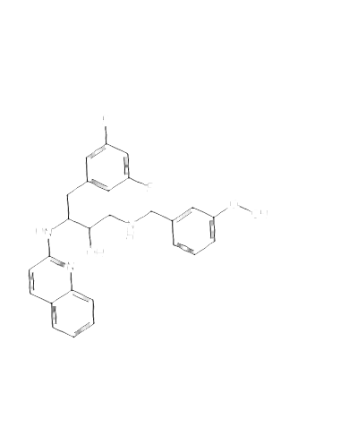 COc1cccc(CNCC(O)C(Cc2cc(F)cc(F)c2)Nc2ccc3ccccc3n2)c1